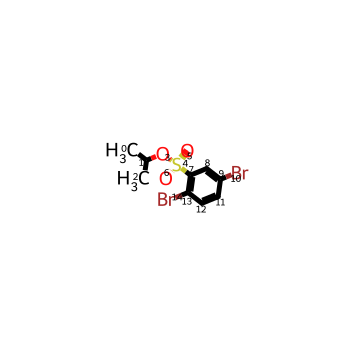 CC(C)OS(=O)(=O)c1cc(Br)ccc1Br